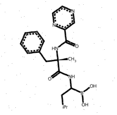 CC(C)CC(NC(=O)[C@](C)(Cc1ccccc1)NC(=O)c1cnccn1)B(O)O